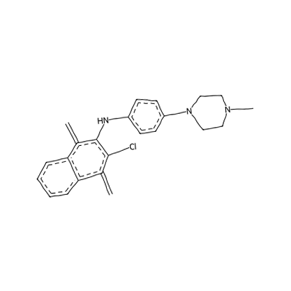 C=c1c(Cl)c(Nc2ccc(N3CCN(C)CC3)cc2)c(=C)c2ccccc12